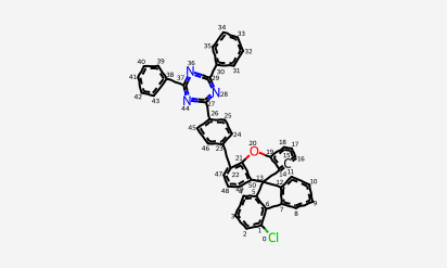 Clc1cccc2c1-c1ccccc1C21c2ccccc2Oc2c(-c3ccc(-c4nc(-c5ccccc5)nc(-c5ccccc5)n4)cc3)cccc21